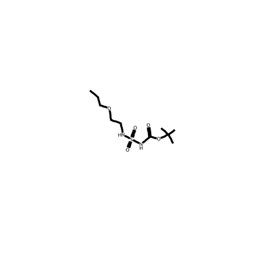 CCCOCCNS(=O)(=O)NC(=O)OC(C)(C)C